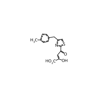 Cc1ccc(Cc2csc(C(=O)C=C(O)C(=O)O)n2)cc1